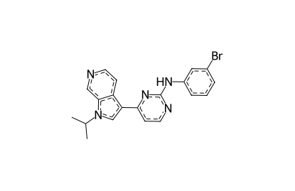 CC(C)n1cc(-c2ccnc(Nc3cccc(Br)c3)n2)c2ccncc21